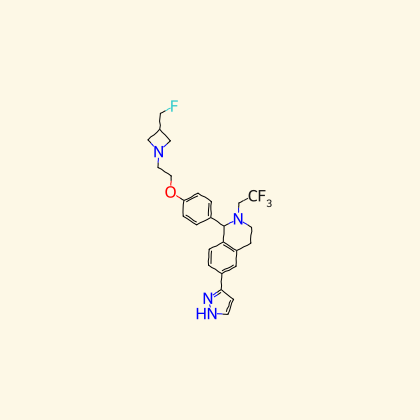 FCC1CN(CCOc2ccc(C3c4ccc(-c5cc[nH]n5)cc4CCN3CC(F)(F)F)cc2)C1